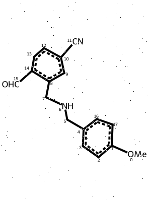 COc1ccc(CNCc2cc(C#N)ccc2C=O)cc1